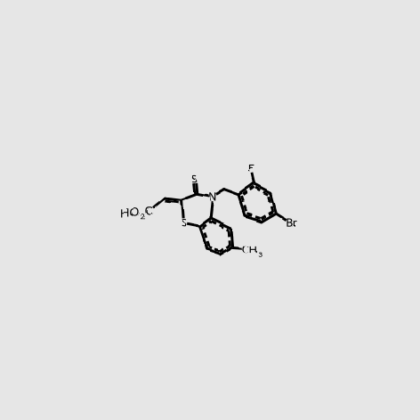 Cc1ccc2c(c1)N(Cc1ccc(Br)cc1F)C(=S)/C(=C/C(=O)O)S2